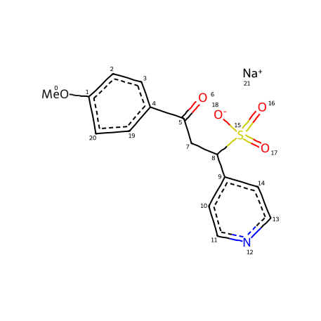 COc1ccc(C(=O)CC(c2ccncc2)S(=O)(=O)[O-])cc1.[Na+]